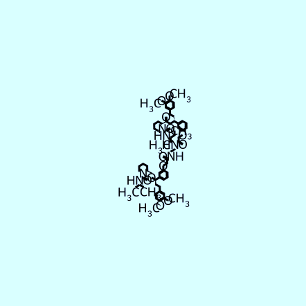 CCC(CC)NC(=O)N1CCCC[C@H]1CO[C@H](CCc1ccc(OC)c(OC)c1)c1cccc(OCC(=O)NCCNC(=O)COc2cccc([C@@H](CCc3ccc(OC)c(OC)c3)CC(=O)[C@@H]3CCCCN3C(=O)NC(CC)CC)c2)c1